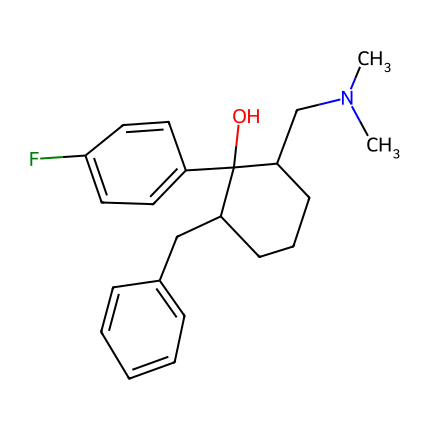 CN(C)CC1CCCC(Cc2ccccc2)C1(O)c1ccc(F)cc1